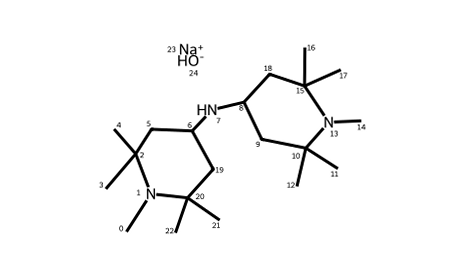 CN1C(C)(C)CC(NC2CC(C)(C)N(C)C(C)(C)C2)CC1(C)C.[Na+].[OH-]